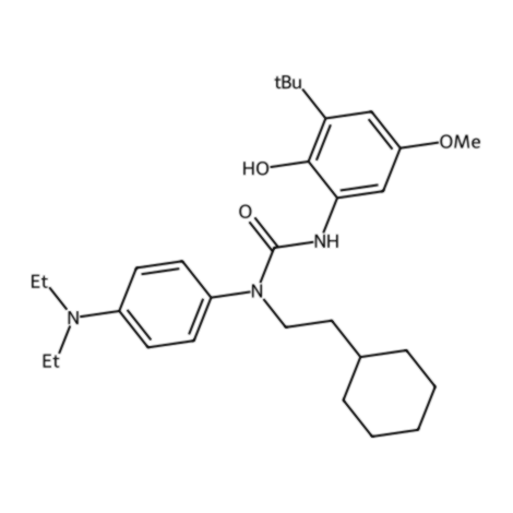 CCN(CC)c1ccc(N(CCC2CCCCC2)C(=O)Nc2cc(OC)cc(C(C)(C)C)c2O)cc1